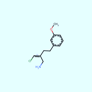 COc1cccc(CC/C(=C/Cl)CN)c1